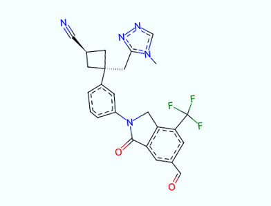 Cn1cnnc1C[C@]1(c2cccc(N3Cc4c(cc(C=O)cc4C(F)(F)F)C3=O)c2)C[C@@H](C#N)C1